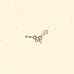 Cc1cc(C#CC2CC2)ccc1-c1cncc(OCC2CCCCO2)c1